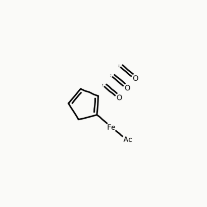 C[C](=O)[Fe][C]1=CC=CC1.[C]=O.[C]=O.[C]=O